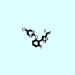 Fc1cccc(Oc2ncc(Cl)cn2)c1-c1cc(C(F)F)no1